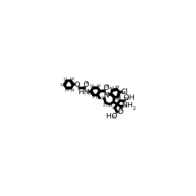 Cc1cc(NC(=O)COc2ccccc2)ccc1C(=O)N1CCCC(C(CCO)(CCO)C(N)=O)c2cc(Cl)ccc21